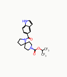 O=C(OC(C(F)(F)F)C(F)(F)F)N1CCC2(CCCN2C(=O)c2ccc3[nH]ccc3c2)CC1